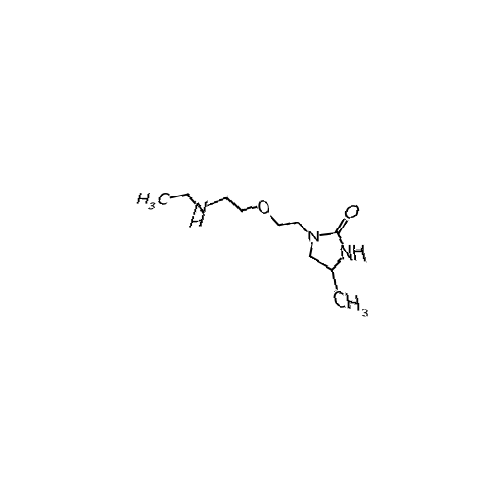 CCNCCOCCN1CC(C)NC1=O